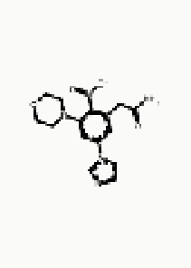 NC(=O)Cc1cc(-n2ccnc2)cc(N2CCOCC2)c1[N+](=O)[O-]